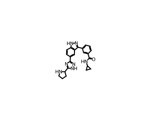 O=C(NC1CC1)c1cccc(-c2n[nH]c3ccc(-c4n[nH]c(C5CCCN5)n4)cc23)c1